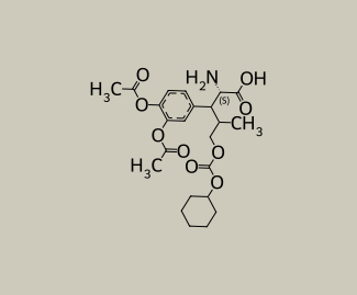 CC(=O)Oc1ccc(C(C(C)COC(=O)OC2CCCCC2)[C@H](N)C(=O)O)cc1OC(C)=O